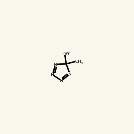 CCCC1(C)N=NN=N1